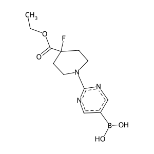 CCOC(=O)C1(F)CCN(c2ncc(B(O)O)cn2)CC1